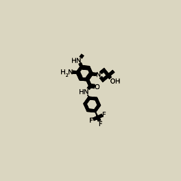 CNc1cc(N2CC(C)(O)C2)c(C(=O)N[C@H]2CC[C@H](C(F)(F)F)CC2)cc1N